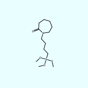 CO[Si](CCCCN1CCCCCC1=O)(OC)OC